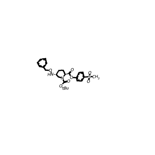 CC(C)(C)OC(=O)N1C[C@H](NOCc2ccccc2)CC[C@H]1C(=O)Oc1ccc(S(C)(=O)=O)cc1